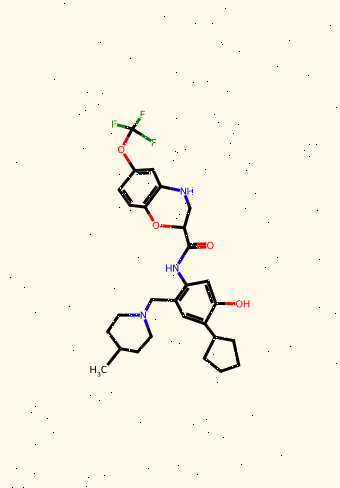 CC1CCN(Cc2cc(C3CCCC3)c(O)cc2NC(=O)C2CNc3cc(OC(F)(F)F)ccc3O2)CC1